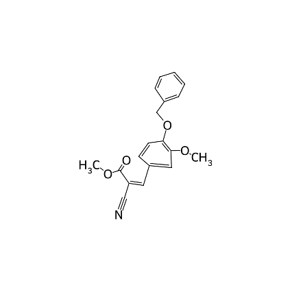 COC(=O)C(C#N)=Cc1ccc(OCc2ccccc2)c(OC)c1